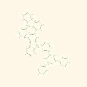 c1ccc(-c2cc(-c3ccccc3)nc(-c3cccc(-n4c5cc(-c6cccc7c8ccccc8n(-c8ccccc8)c67)ccc5c5ncccc54)c3)n2)cc1